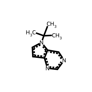 CC(C)(C)n1ccc2ncncc21